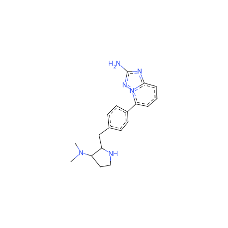 CN(C)C1CCNC1Cc1ccc(-c2cccc3nc(N)nn23)cc1